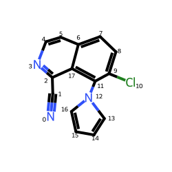 N#Cc1nccc2ccc(Cl)c(-n3cccc3)c12